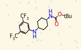 CC(C)(C)OC(=O)N[C@H]1CC[C@@H](Nc2cc(C(F)(F)F)cc(C(F)(F)F)c2)CC1